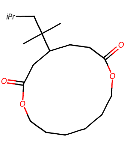 CC(C)CC(C)(C)C1CCC(=O)OCCCCCCOC(=O)C1